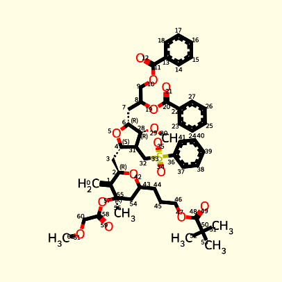 C=C1[C@@H](C[C@@H]2O[C@H](CC(COC(=O)c3ccccc3)OC(=O)c3ccccc3)[C@H](OC)C2CS(=O)(=O)c2ccccc2)OC(CCCOC(=O)C(C)(C)C)C[C@@]1(C)OC(=O)COC